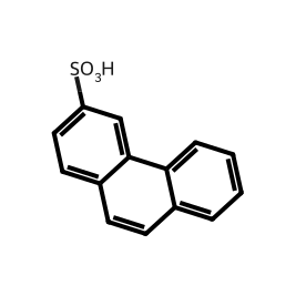 O=S(=O)(O)c1ccc2ccc3ccccc3c2c1